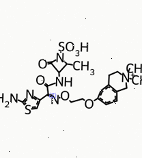 CC1C(NC(=O)/C(=N\OCCOc2ccc3c(c2)CC[N+](C)(C)C3)c2csc(N)n2)C(=O)N1S(=O)(=O)O